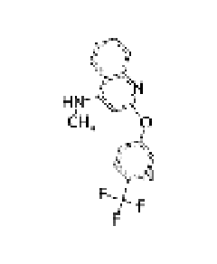 CNc1cc(Oc2ccc(C(F)(F)F)nc2)nc2ccccc12